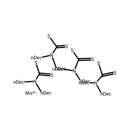 CCCCCCCCCCN(CCCCCCCCCC)C(=S)[S-].CCCCCCCCCCN(CCCCCCCCCC)C(=S)[S-].CCCCCCCCCCN(CCCCCCCCCC)C(=S)[S-].CCCCCCCCCCN(CCCCCCCCCC)C(=S)[S-].[Mo+4]